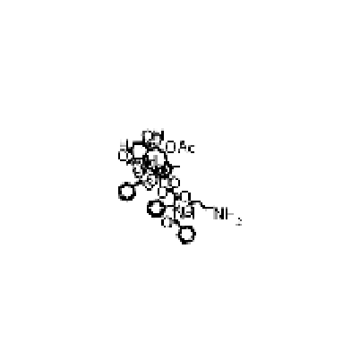 CC(=O)OC1C(=O)C2(C)[C@@H](O)C[C@H]3OC[C@@]3(OC(C)=O)[C@H]2[C@H](OC(=O)c2ccccc2)[C@]2(O)C[C@H](OC(=O)[C@H](OC(=O)CCCN)[C@@H](NC(=O)c3ccccc3)c3ccccc3)C(C)=C1C2(C)C